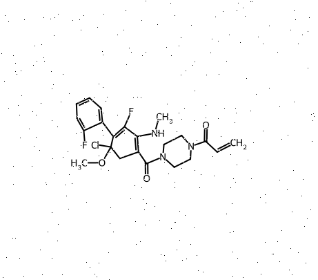 C=CC(=O)N1CCN(C(=O)C2=C(NC)C(F)=C(c3ccccc3F)C(Cl)(OC)C2)CC1